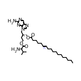 CCCCCCCCCCC/C=C/CCCCC(=O)OC[C@H](CCOC(=O)[C@@H](N)C(C)C)Cn1cnc2cnc(N)nc21